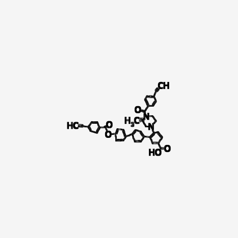 C#Cc1ccc(C(=O)Oc2ccc(-c3ccc(-c4cc(C(=O)O)ccc4N4CCN(C(=O)c5ccc(C#C)cc5)[C@@H](C)C4)cc3)cc2)cc1